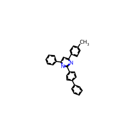 Cc1ccc(-c2cc(-c3ccccc3)nc(-c3ccc(-c4ccccc4)cc3)n2)cc1